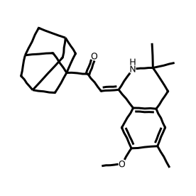 COc1cc2c(cc1C)CC(C)(C)N/C2=C\C(=O)C12CC3CC(CC(C3)C1)C2